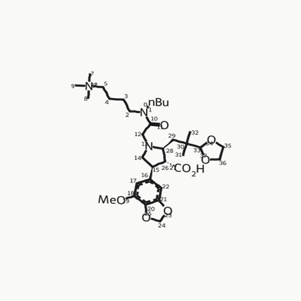 CCCCN(CCCC[N+](C)(C)C)C(=O)CN1C[C@H](c2cc(OC)c3c(c2)OCO3)[C@@H](C(=O)O)[C@@H]1CC(C)(C)C1OCCO1